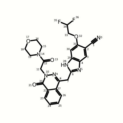 N#Cc1cc2nc(Cc3nn(CC(=O)N4CCOCC4)c(=O)c4ccccc34)[nH]c2cc1OCC(F)F